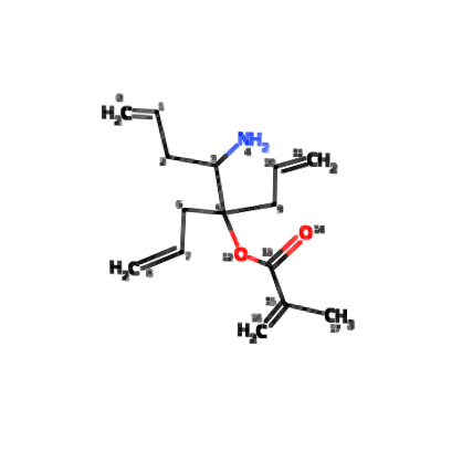 C=CCC(N)C(CC=C)(CC=C)OC(=O)C(=C)C